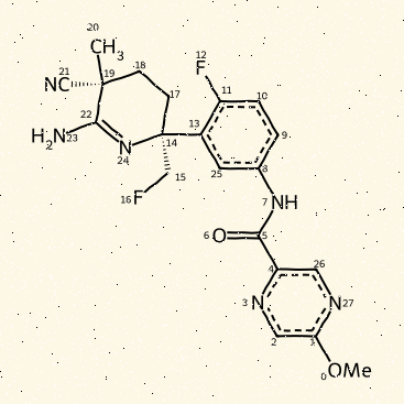 COc1cnc(C(=O)Nc2ccc(F)c([C@]3(CF)CC[C@@](C)(C#N)C(N)=N3)c2)cn1